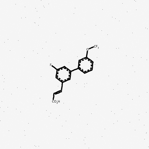 O=C(O)/C=C/c1cc(F)cc(-c2cccc(OC(F)(F)F)c2)c1